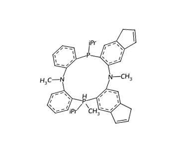 CC(C)P1c2ccccc2N(C)c2ccccc2[PH](C)(C(C)C)c2cc3c(cc2N(C)c2cc4c(cc21)CC=C4)CC=C3